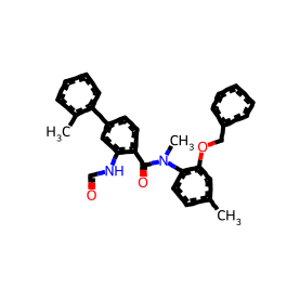 Cc1ccc(N(C)C(=O)c2ccc(-c3ccccc3C)cc2NC=O)c(OCc2ccccc2)c1